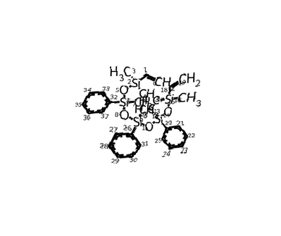 C=C[Si](C)(C)O[Si](C)(O[Si](C)(O[Si](C)(O[Si](C)(C)C=C)c1ccccc1)c1ccccc1)c1ccccc1